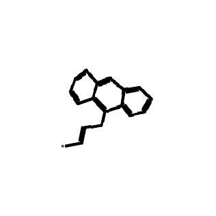 [CH2]C=CCc1c2ccccc2cc2ccccc12